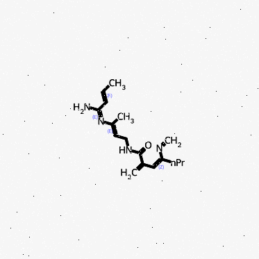 C=N/C(=C\C(=C)C(=O)NC/C=C(C)/N=C(N)\C=C\C)CCC